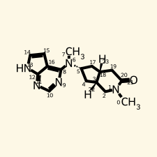 CN1C[C@@H]2C[C@H](N(C)c3ncnc4[nH]ccc34)C[C@@H]2CC1=O